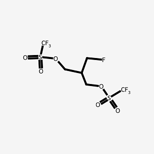 O=S(=O)(OCC(CF)COS(=O)(=O)C(F)(F)F)C(F)(F)F